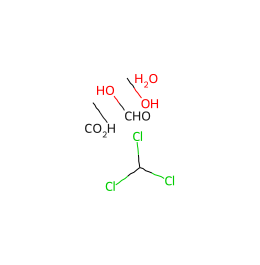 CC(=O)O.CO.ClC(Cl)Cl.O.O=CO